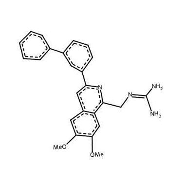 COc1cc2cc(-c3cccc(-c4ccccc4)c3)nc(CN=C(N)N)c2cc1OC